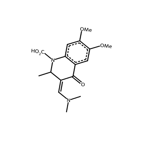 COc1cc2c(cc1OC)N(C(=O)O)C(C)C(=CN(C)C)C2=O